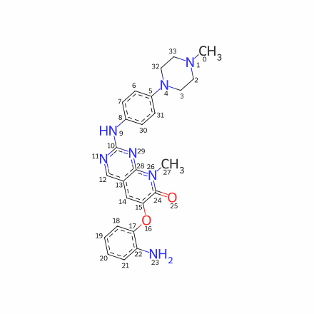 CN1CCN(c2ccc(Nc3ncc4cc(Oc5ccccc5N)c(=O)n(C)c4n3)cc2)CC1